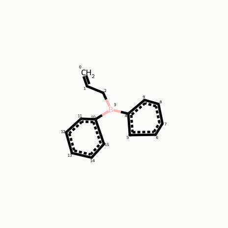 C=CCB(c1ccccc1)c1ccccc1